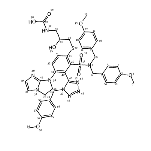 COc1ccc(CN(Cc2ccc(OC)cc2)S(=O)(=O)c2c(SCC(O)CNC(=O)O)ccc(N3CCn4ccnc43)c2-c2nnnn2Cc2ccc(OC)cc2)cc1